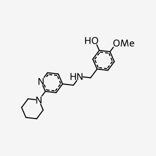 COc1ccc(CNCc2ccnc(N3CCCCC3)c2)cc1O